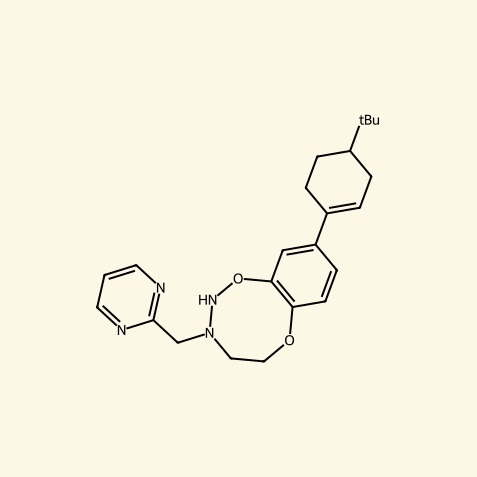 CC(C)(C)C1CC=C(c2ccc3c(c2)ONN(Cc2ncccn2)CCO3)CC1